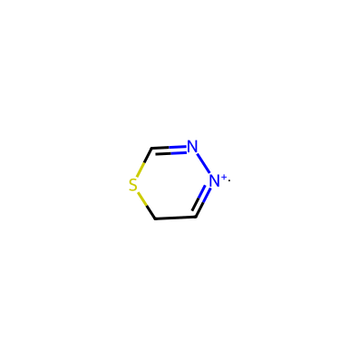 C1=N[N+]=CCS1